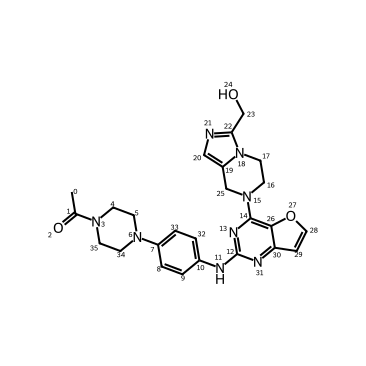 CC(=O)N1CCN(c2ccc(Nc3nc(N4CCn5c(cnc5CO)C4)c4occc4n3)cc2)CC1